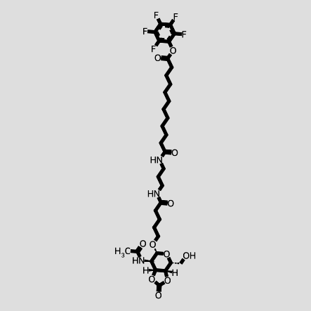 CC(=O)N[C@H]1[C@H](OCCCCC(=O)NCCCNC(=O)CCCCCCCCCCC(=O)Oc2c(F)c(F)c(F)c(F)c2F)O[C@H](CO)[C@@H]2OC(=O)O[C@H]12